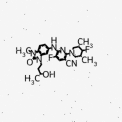 C[C@@H]1CN(c2nc(Nc3ccc4c(c3)n(CC[C@@H](C)O)c(=O)n4C)c(F)cc2C#N)C[C@H](C)C1F